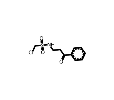 O=C(CCNS(=O)(=O)CCl)c1ccccc1